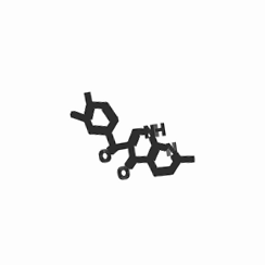 Cc1ccc2c(=O)c(C(=O)c3ccc(C)c(C)c3)c[nH]c2n1